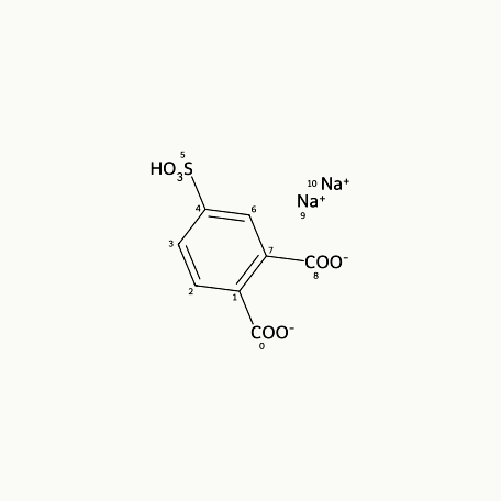 O=C([O-])c1ccc(S(=O)(=O)O)cc1C(=O)[O-].[Na+].[Na+]